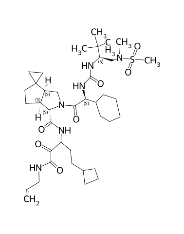 C=CCNC(=O)C(=O)C(CCC1CCC1)NC(=O)[C@@H]1[C@H]2CCC3(CC3)[C@H]2CN1C(=O)[C@@H](NC(=O)N[C@H](CN(C)S(C)(=O)=O)C(C)(C)C)C1CCCCC1